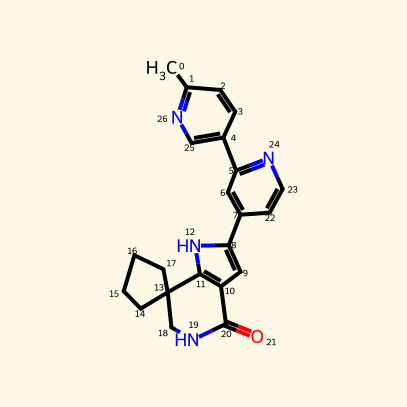 Cc1ccc(-c2cc(-c3cc4c([nH]3)C3(CCCC3)CNC4=O)ccn2)cn1